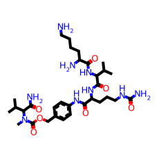 CC(C)C(NC(=O)C(N)CCCCN)C(=O)NC(CCCNC(N)=O)C(=O)Nc1ccc(COC(=O)N(C)C(C(N)=O)C(C)C)cc1